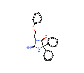 N=C1NC(c2ccccc2)(c2ccccc2)C(=O)N1CCOc1ccccc1